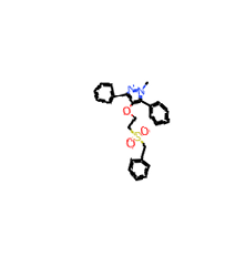 Cn1nc(-c2ccccc2)c(OCCS(=O)(=O)Cc2ccccc2)c1-c1ccccc1